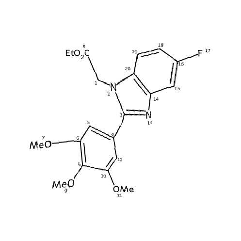 CCOC(=O)Cn1c(-c2cc(OC)c(OC)c(OC)c2)nc2cc(F)ccc21